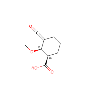 CO[C@H]1C(=C=O)CCC[C@H]1C(=O)O